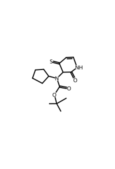 CC(C)(C)OC(=O)N(C1CCCC1)C1C(=O)NC=CC1=S